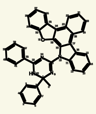 CC1(c2ccccc2)N=C(n2c3ccccc3c3c4ccccc4c4c5ccccc5oc4c32)N=C(c2ccccc2)N1